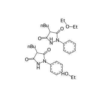 CCCCC1C(=O)NN(c2ccccc2)C1=O.CCCCC1C(=O)NN(c2ccccc2)C1=O.CCO.CCOCC